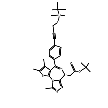 Cc1sc2c(c1C)C(c1ccc(C#CCO[Si](C)(C)C(C)(C)C)cc1)=N[C@@H](CC(=O)OC(C)(C)C)c1nnc(C)n1-2